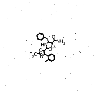 Cc1ccccc1-c1nc(C(F)(F)F)oc1C(=O)NC(Cc1ccccc1)C(=O)C(N)=O